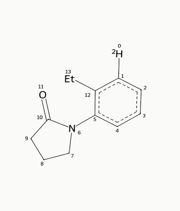 [2H]c1cccc(N2CCCC2=O)c1CC